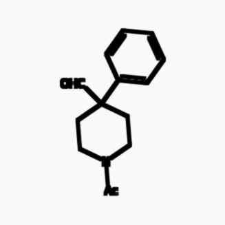 CC(=O)N1CCC(C=O)(c2ccccc2)CC1